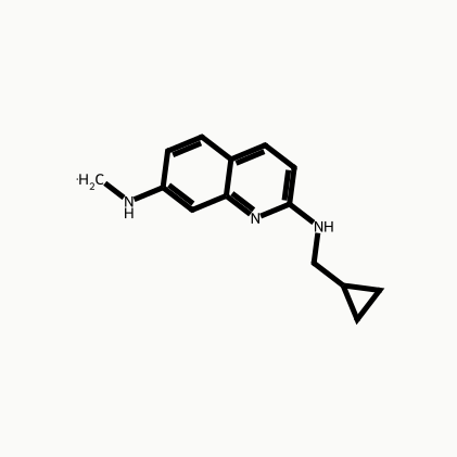 [CH2]Nc1ccc2ccc(NCC3CC3)nc2c1